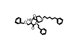 O=C1C(COCc2ccccc2)NC(=O)C2(CCN(CCCCCc3ccccc3)CC2)N1CCc1ccccc1